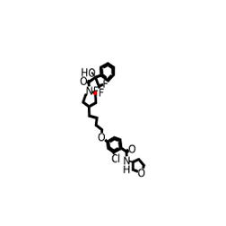 O=C(N[C@H]1CCOC1)c1ccc(OCCCCC2CCN(C(=O)[C@](O)(c3ccccc3)C(F)(F)F)CC2)cc1Cl